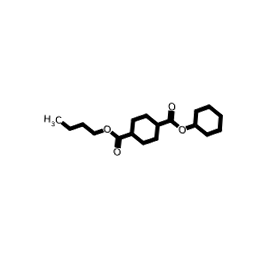 CCCCOC(=O)C1CCC(C(=O)OC2CCCCC2)CC1